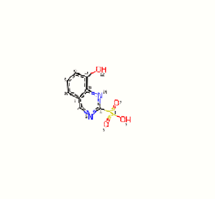 O=S(=O)(O)c1ncc2cccc(O)c2n1